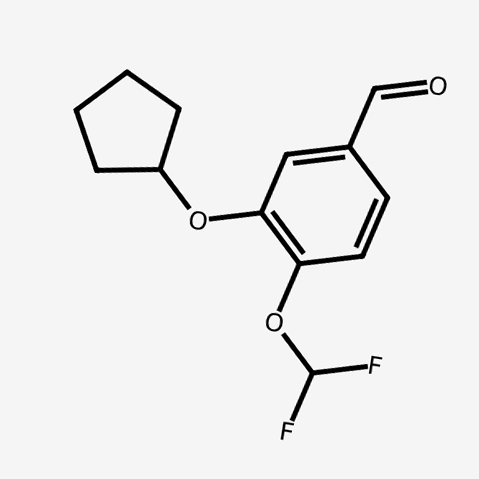 O=Cc1ccc(OC(F)F)c(OC2CCCC2)c1